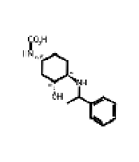 CC(N[C@@H]1CC[C@@H](NC(=O)O)C[C@H]1O)c1ccccc1